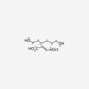 CCCCCCCCC=CC(=O)O.OCCCCCCO